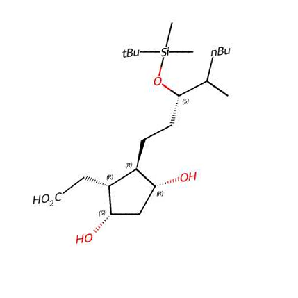 CCCCC(C)[C@H](CC[C@@H]1[C@@H](CC(=O)O)[C@@H](O)C[C@H]1O)O[Si](C)(C)C(C)(C)C